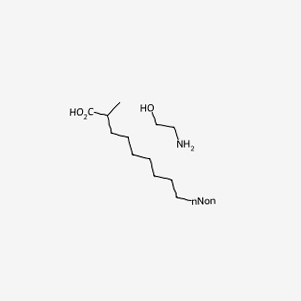 CCCCCCCCCCCCCCCCC(C)C(=O)O.NCCO